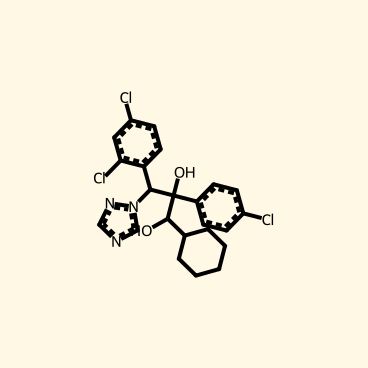 OC(C1CCCCC1)C(O)(c1ccc(Cl)cc1)C(c1ccc(Cl)cc1Cl)n1cncn1